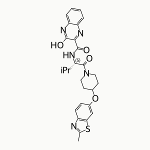 Cc1nc2ccc(OC3CCN(C(=O)[C@@H](NC(=O)c4nc5ccccc5nc4O)C(C)C)CC3)cc2s1